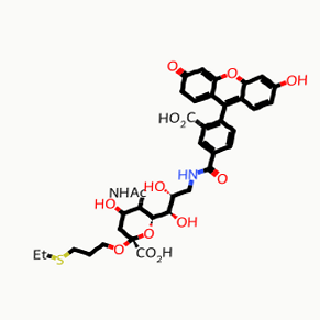 CCSCCCO[C@]1(C(=O)O)CC(O)C(NC(C)=O)[C@H]([C@H](O)[C@H](O)CNC(=O)c2ccc(C3=C4C=CC(O)=CC4OC4=CC(=O)CC=C43)c(C(=O)O)c2)O1